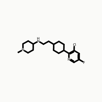 CN1CCC(NCCC2CCC(c3ncc(F)cc3Cl)CC2)CC1